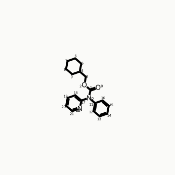 O=C(OCC1CCCCC1)N(c1ccccc1)c1ccccn1